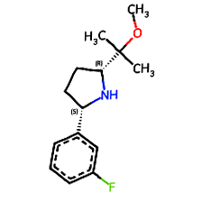 COC(C)(C)[C@H]1CC[C@@H](c2cccc(F)c2)N1